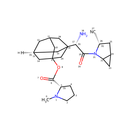 CN1CCC[C@H]1C(=O)OC12CC3C[C@H](C1)CC([C@H](N)C(=O)N1C4CC4C[C@H]1C#N)(C3)C2